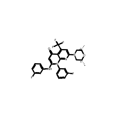 C[C@@H]1CN(c2cc(C(F)(F)F)c3c(=O)cc(Nc4cccc(F)c4)n(-c4cccc(F)c4)c3n2)C[C@H](C)O1